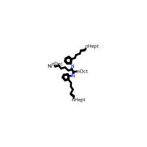 CCCCCCC/C=C/CCCc1ccccc1/N=C(CCCCCCCC)\C(CCCCCCCCCCCCCCC)=N\c1ccccc1CCC/C=C/CCCCCCC.[Ni]